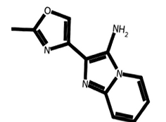 Cc1nc(-c2nc3ccccn3c2N)co1